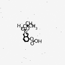 CC(C)(C)OC(=O)N1CC2C=CCC(OC(=O)O)C2C1